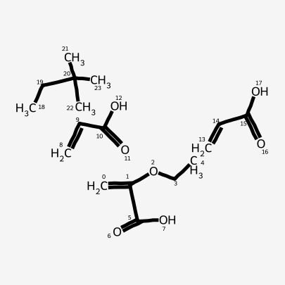 C=C(OCC)C(=O)O.C=CC(=O)O.C=CC(=O)O.CCC(C)(C)C